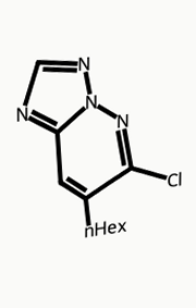 CCCCCCc1cc2ncnn2nc1Cl